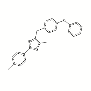 Cc1ccc(-c2nc(Cc3ccc(Oc4ccccc4)cc3)c(C)o2)cc1